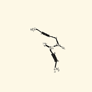 CC#CC[S+]([O-])[S+]([O-])C#CC